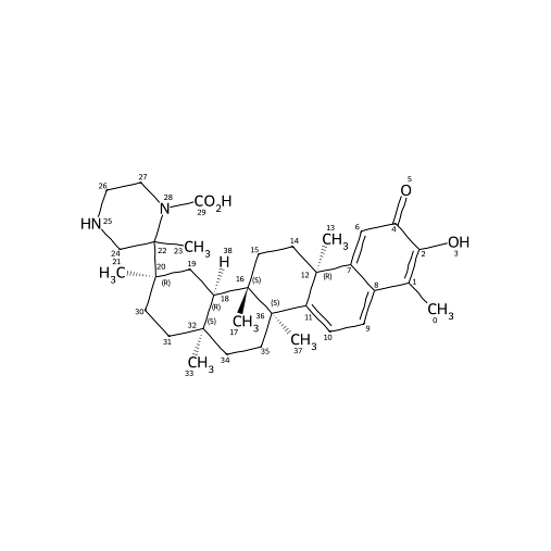 CC1=C(O)C(=O)C=C2C1=CC=C1[C@@]2(C)CC[C@@]2(C)[C@@H]3C[C@](C)(C4(C)CNCCN4C(=O)O)CC[C@]3(C)CC[C@]12C